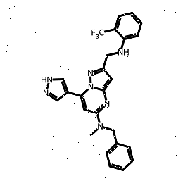 CN(Cc1ccccc1)c1cc(-c2cn[nH]c2)n2nc(CNc3ccccc3C(F)(F)F)cc2n1